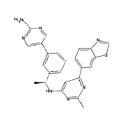 Cc1nc(N[C@@H](C)c2cccc(-c3cnc(N)nc3)c2)cc(-c2ccc3ncsc3c2)n1